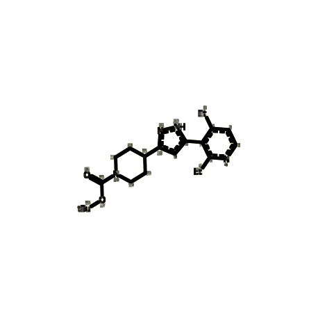 CCc1ccnc(CC)c1-c1cc(C2CCN(C(=O)OC(C)(C)C)CC2)n[nH]1